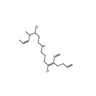 C=NCC/C(N=C)=C(\CC)CCCNCCC(CC)N(C)/C=C\C